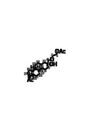 CC(=O)OCCOCC1(O)CC[C@@]2(C)C(CC[C@H]3[C@@H]4CC[C@H](C(C)=O)[C@@]4(C)CC[C@@H]32)C1